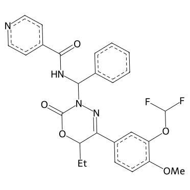 CCC1OC(=O)N(C(NC(=O)c2ccncc2)c2ccccc2)N=C1c1ccc(OC)c(OC(F)F)c1